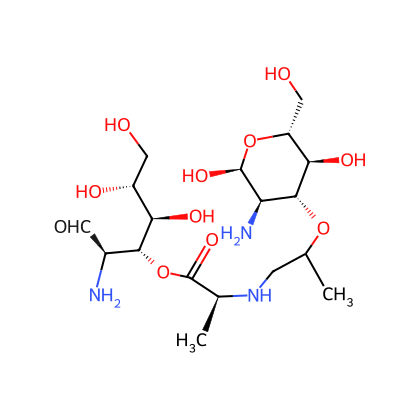 CC(CN[C@@H](C)C(=O)O[C@@H]([C@H](O)[C@H](O)CO)[C@@H](N)C=O)O[C@@H]1[C@@H](N)[C@@H](O)O[C@H](CO)[C@H]1O